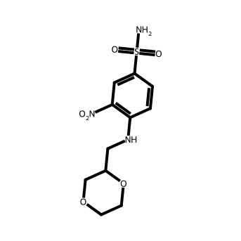 NS(=O)(=O)c1ccc(NCC2COCCO2)c([N+](=O)[O-])c1